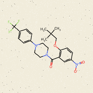 CC(C)(C)COc1ccc([N+](=O)[O-])cc1C(=O)N1CCN(c2ccc(C(F)(F)F)cc2)CC1